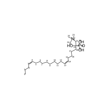 CCC/C=C\CCCCCCCC/C=C\CCCCC(O)(C[N+](C)(C)C)P(=O)(O)O